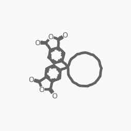 O=C1OC(=O)c2cc(C3(c4ccc5c(c4)C(=O)OC5=O)CCCCCCCCCCCC3)ccc21